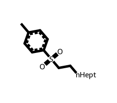 CCCCCCCCCS(=O)(=O)c1ccc(C)cc1